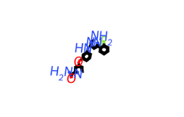 NC(=O)c1cc(Oc2cccc(Nc3cc(-c4ccccc4F)nc(N)n3)c2)ccn1